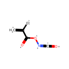 C=C(CC)C(=O)ON=C=O